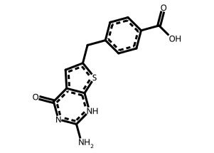 Nc1nc(=O)c2cc(Cc3ccc(C(=O)O)cc3)sc2[nH]1